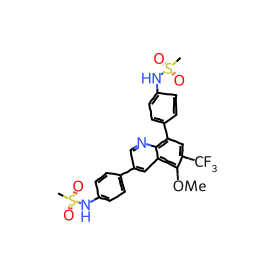 COc1c(C(F)(F)F)cc(-c2ccc(NS(C)(=O)=O)cc2)c2ncc(-c3ccc(NS(C)(=O)=O)cc3)cc12